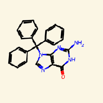 Nc1nc2c(ncn2C(c2ccccc2)(c2ccccc2)c2ccccc2)c(=O)[nH]1